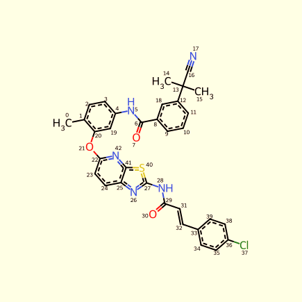 Cc1ccc(NC(=O)c2cccc(C(C)(C)C#N)c2)cc1Oc1ccc2nc(NC(=O)/C=C/c3ccc(Cl)cc3)sc2n1